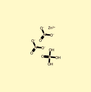 O=P(O)(O)O.O=[N+]([O-])[O-].O=[N+]([O-])[O-].[Zn+2]